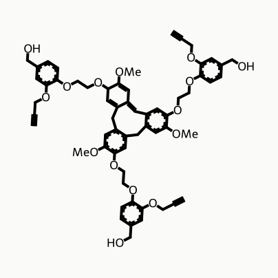 C#CCOc1cc(CO)ccc1OCCOc1cc2c(cc1OC)Cc1cc(OCCOc3ccc(CO)cc3OCC#C)c(OC)cc1CC1=CC(OCCOc3ccc(CO)cc3OCC#C)C(OC)=C/C1=C\2